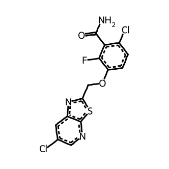 NC(=O)c1c(Cl)ccc(OCc2nc3cc(Cl)cnc3s2)c1F